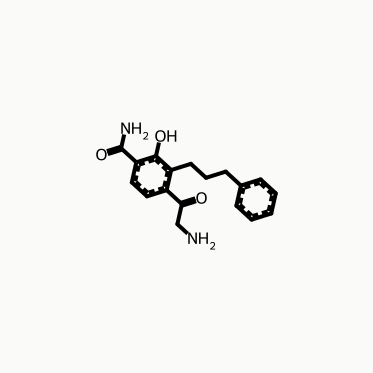 NCC(=O)c1ccc(C(N)=O)c(O)c1CCCc1ccccc1